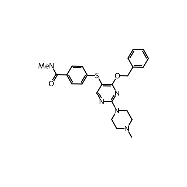 CNC(=O)c1ccc(Sc2cnc(N3CCN(C)CC3)nc2OCc2ccccc2)cc1